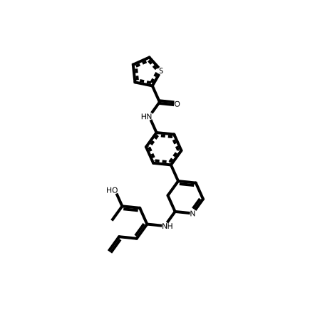 C=C/C=C(\C=C(/C)O)NC1CC(c2ccc(NC(=O)c3cccs3)cc2)=CC=N1